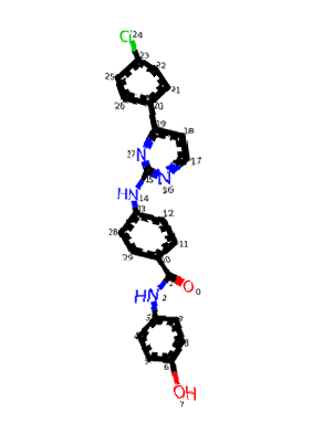 O=C(Nc1ccc(O)cc1)c1ccc(Nc2nccc(-c3ccc(Cl)cc3)n2)cc1